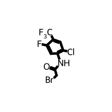 O=C(CBr)Nc1cc(F)c(C(F)(F)F)cc1Cl